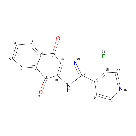 O=C1c2ccccc2C(=O)c2[nH]c(-c3ccncc3F)nc21